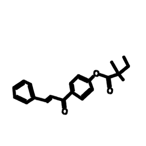 CCC(C)(C)C(=O)Oc1ccc(C(=O)/C=C/c2ccccc2)cc1